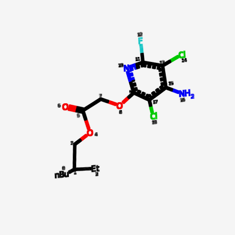 CCCCC(CC)COC(=O)COc1nc(F)c(Cl)c(N)c1Cl